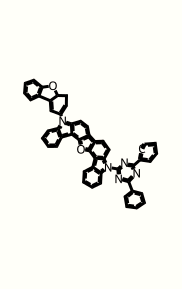 C1=C2c3ccccc3OC2CC=C1n1c2ccccc2c2c3oc4c(ccc5c4c4ccccc4n5-c4nc(-c5ccccc5)nc(-c5ccccc5)n4)c3ccc21